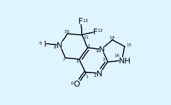 O=c1nc2n(c3c1CN(I)CC3(F)F)CCN2